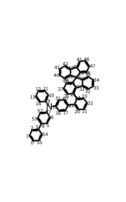 c1ccc(-c2ccc(N(c3ccccc3)c3ccc(-c4ccccc4-c4cccc5c4-c4ccccc4C54c5ccccc5-c5ccccc54)cc3)cc2)cc1